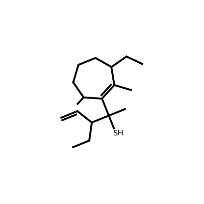 C=CC(CC)C(C)(S)C1=C(C)C(CC)CCCC1C